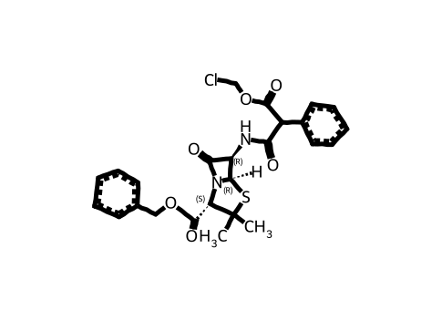 CC1(C)S[C@@H]2[C@H](NC(=O)C(C(=O)OCCl)c3ccccc3)C(=O)N2[C@H]1C(=O)OCc1ccccc1